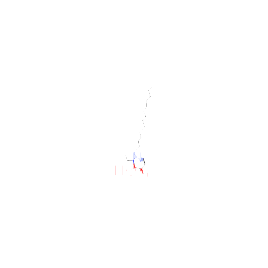 CCCCCCCCCCCCCCn1ccc(=O)c(O)c1CC